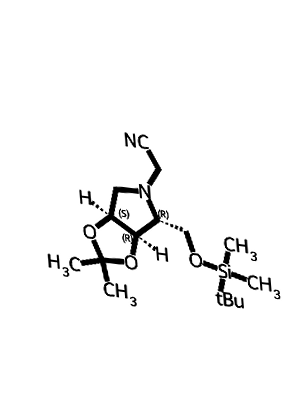 CC1(C)O[C@H]2[C@H](CN(CC#N)[C@@H]2CO[Si](C)(C)C(C)(C)C)O1